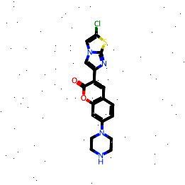 O=c1oc2cc(N3CCNCC3)ccc2cc1-c1cn2cc(Cl)sc2n1